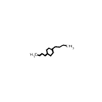 CCCCC1[CH]CC(CCCC)[CH]C1